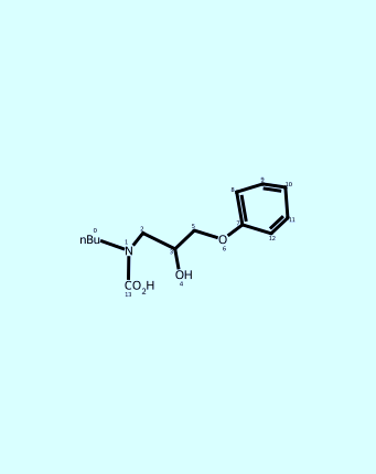 [CH2]CCCN(CC(O)COc1ccccc1)C(=O)O